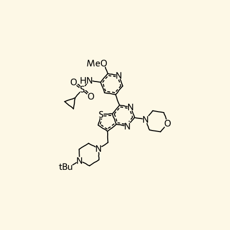 COc1ncc(-c2nc(N3CCOCC3)nc3c(CN4CCN(C(C)(C)C)CC4)csc23)cc1NS(=O)(=O)C1CC1